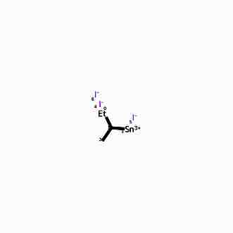 CC[CH](C)[Sn+3].[I-].[I-].[I-]